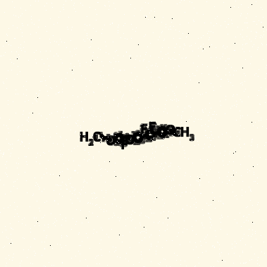 C=CCCOc1ccc(COC2CCC(c3ccc(-c4ccc(OCC)cc4)c(F)c3F)CC2)c(F)c1